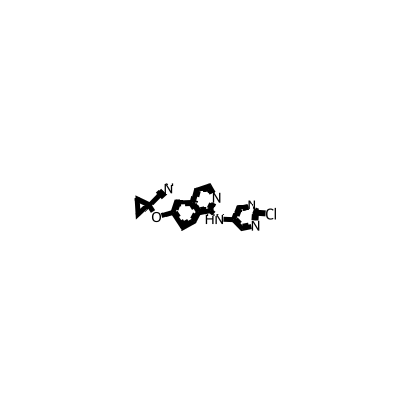 N#CC1(Oc2ccc3c(Nc4cnc(Cl)nc4)nccc3c2)CC1